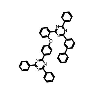 c1ccc(-c2cccc(-c3nc(-c4ccccc4)nc(-c4ccccc4Oc4ccc(-c5nc(-c6ccccc6)nc(-c6ccccc6)n5)cc4)n3)c2)cc1